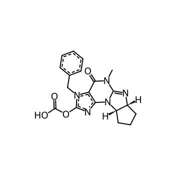 CN1C(=O)c2c(nc(OC(=O)O)n2Cc2ccccc2)N2C1=N[C@@H]1CCC[C@@H]12